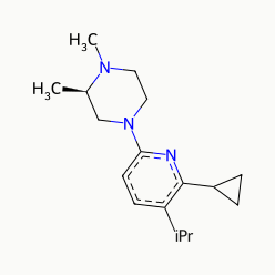 CC(C)c1ccc(N2CCN(C)[C@H](C)C2)nc1C1CC1